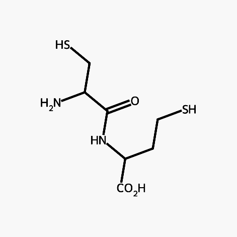 NC(CS)C(=O)NC(CCS)C(=O)O